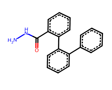 NNC(=O)c1ccccc1-c1ccccc1-c1ccccc1